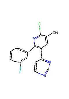 N#Cc1cc(-c2ccncn2)c(-c2cccc(F)c2)nc1Cl